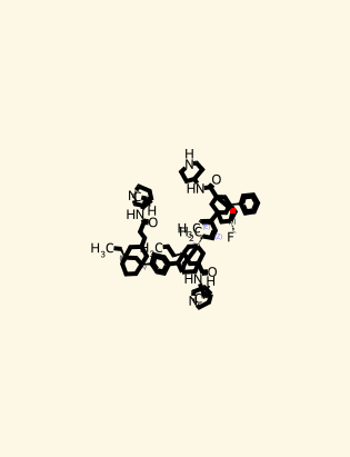 C=C(/C=C\C(=C/C)C12CC3(C(=O)NC4CCNCC4)C[C@](CF)(C1)C[C@@](c1ccccc1)(C3)C2)[C@@]12CC3CC(C(=O)N[C@H]4CN5CCC4CC5)(C1)C[C@@](CCC)(C2)C3c1ccc([C@]23CCC[C@](CC)(CC(CCC(=O)N[C@H]4CN5CCC4CC5)C2)C3)cc1